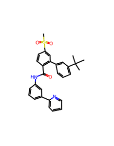 CC(C)(C)c1cccc(-c2cc(S(C)(=O)=O)ccc2C(=O)Nc2cccc(-c3ccccn3)c2)c1